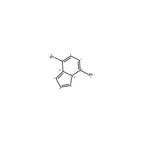 CC(C)c1ccc(C(C)C)n2cccc12